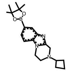 CC1(C)OB(c2ccc3c(c2)nc2n3CCN(C3CCC3)C2)OC1(C)C